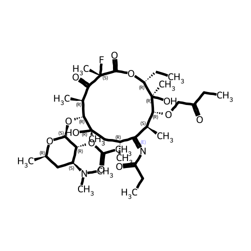 CCC(=O)CO[C@@H]1[C@@H](C)/C(=N/C(=O)CC)[C@H](C)C[C@@](C)(O)[C@H](O[C@@H]2O[C@H](C)C[C@H](N(C)C)[C@H]2OC(C)=O)[C@@H](C)C(=O)[C@](C)(F)C(=O)O[C@H](CC)[C@@]1(C)O